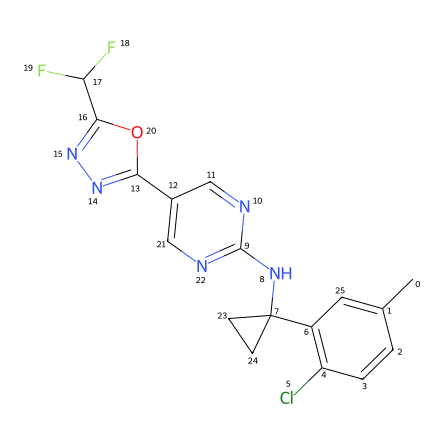 Cc1ccc(Cl)c(C2(Nc3ncc(-c4nnc(C(F)F)o4)cn3)CC2)c1